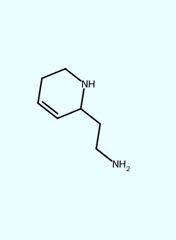 NCCC1C=CCCN1